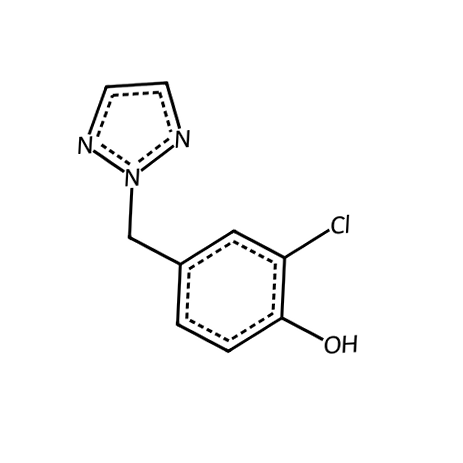 Oc1ccc(Cn2nccn2)cc1Cl